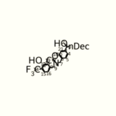 CCCCCCCCCCC(O)c1ccc(CN(Cc2ccc(C(F)(F)F)cc2)C(=O)C(=O)O)cc1